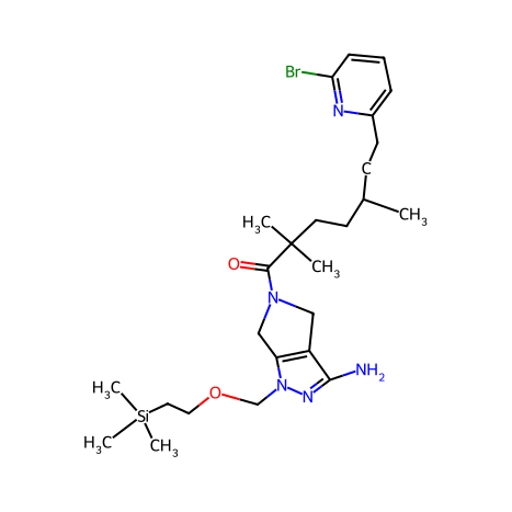 CC(CCc1cccc(Br)n1)CCC(C)(C)C(=O)N1Cc2c(N)nn(COCC[Si](C)(C)C)c2C1